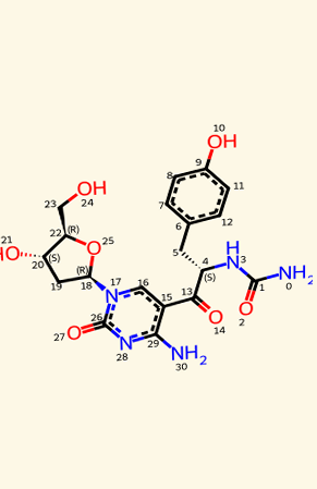 NC(=O)N[C@@H](Cc1ccc(O)cc1)C(=O)c1cn([C@H]2C[C@H](O)[C@@H](CO)O2)c(=O)nc1N